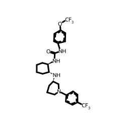 O=C(Nc1ccc(OC(F)(F)F)cc1)N[C@@H]1CCCC[C@H]1N[C@H]1CCCN(c2ccc(C(F)(F)F)cc2)C1